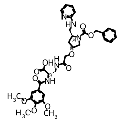 COc1cc(C(=O)N[C@@H](CNC(=O)CO[C@@H]2C[C@@H](CNc3ccccn3)N(C(=O)OCc3ccccc3)C2)C(=O)O)cc(OC)c1OC